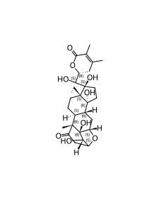 CC1=C(C)C(=O)O[C@@H]([C@](C)(O)[C@]2(O)CC[C@@]3(O)[C@@H]4C[C@@H]5OC6CC(=O)[C@](C)([C@H]4CC[C@]23C)[C@@]5(O)[C@H]6O)C1